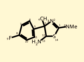 CNC1=NC(C)(c2ccc(F)cc2)C(N)S1